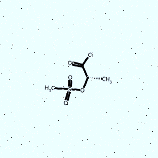 C[C@H](OS(C)(=O)=O)C(=O)Cl